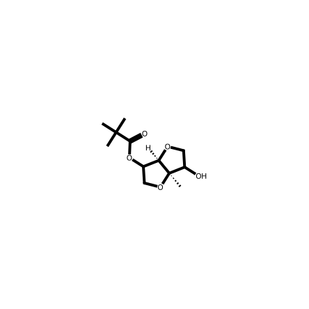 CC(C)(C)C(=O)OC1CO[C@]2(C)C(O)CO[C@H]12